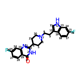 O=c1[nH]c(C2CCN(CCc3c[nH]c4cc(F)ccc34)CC2)nc2cc(F)ccc12